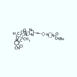 CC(C)(C)OC(=O)N1CCN([C@H]2C[C@H](C#Cc3cnc4c(n3)CN([C@H]3C(C)(C)[C@H](Oc5ccc(C#N)c(Cl)c5)C3(C)C)C4=O)C2)CC1